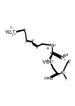 CN(C)C(=N)NC(=N)NCCCCC(=O)O